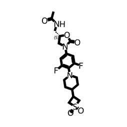 CC(=O)NC[C@H]1CN(c2cc(F)c(N3CCC(C4CS(=O)(=O)C4)CC3)c(F)c2)C(=O)O1